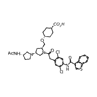 CC(=O)N[C@H]1CCN([C@H]2C[C@@H](CO[C@H]3CC[C@H](C(=O)O)CC3)N(C(=O)Cc3cc(Cl)c(NC(=O)c4csc5ccccc45)cc3Cl)C2)C1